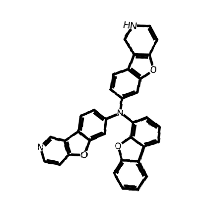 C1=Cc2oc3cc(N(c4ccc5c(c4)oc4ccncc45)c4cccc5c4oc4ccccc45)ccc3c2CN1